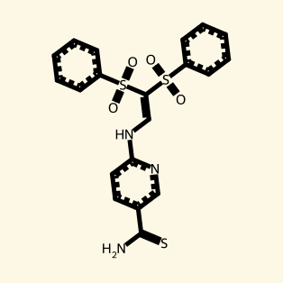 NC(=S)c1ccc(NC=C(S(=O)(=O)c2ccccc2)S(=O)(=O)c2ccccc2)nc1